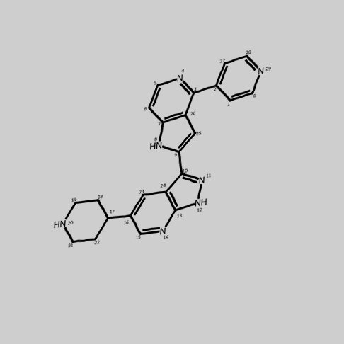 c1cc(-c2nccc3[nH]c(-c4n[nH]c5ncc(C6CCNCC6)cc45)cc23)ccn1